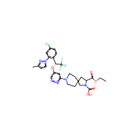 CCOC(=O)C1CC2(CCN(c3cc(O[C@H](c4ccc(Cl)cc4-n4ccc(C)n4)C(F)(F)F)cnn3)CC2)CN1C(=O)O